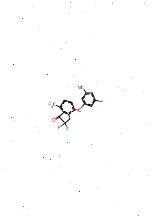 N#Cc1cc(F)cc(Oc2ccc(C(F)(F)F)c3c2CC(F)(F)C3=O)c1